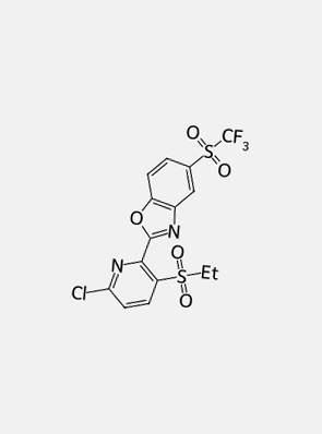 CCS(=O)(=O)c1ccc(Cl)nc1-c1nc2cc(S(=O)(=O)C(F)(F)F)ccc2o1